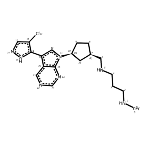 CCCNCCCNC[C@@H]1CC[C@H](n2cc(-c3[nH]ncc3Cl)c3cncnc32)C1